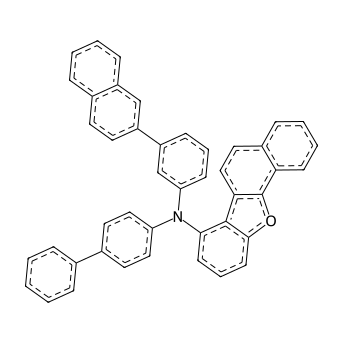 c1ccc(-c2ccc(N(c3cccc(-c4ccc5ccccc5c4)c3)c3cccc4oc5c6ccccc6ccc5c34)cc2)cc1